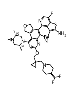 C[C@@H]1CN(c2nc(OCC3(CN4CCC(=C(F)F)CC4)CC3)nc3c(F)c(-c4ncc(F)c5sc(N)c(C#N)c45)c4c(c23)COC4)[C@@H](C)CN1